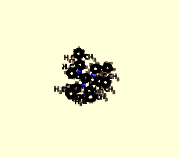 Cc1cccc(C)c1-c1ccc2c(c1)C1(C)CCCCC1(C)N2c1cc2c3c(c1)N(c1cccc4c1sc1ccccc14)c1cc4c(cc1B3c1cc3c(cc1N2c1ccc2c(c1)C(C)(C)CCC2(C)C)C(C)(C)CCC3(C)C)C(C)(C)CCC4(C)C